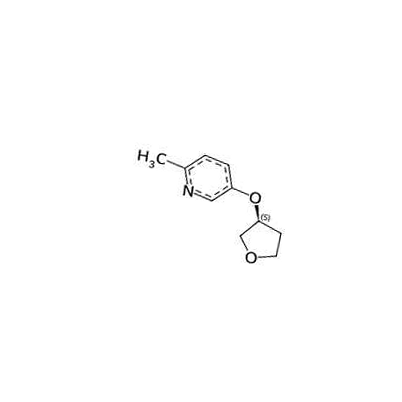 Cc1ccc(O[C@H]2CCOC2)cn1